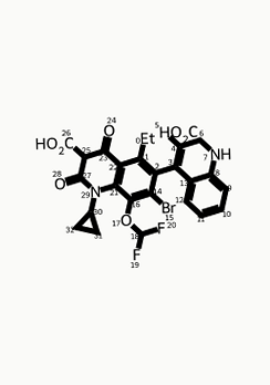 CCc1c(C2=C(C(=O)O)CNc3ccccc32)c(Br)c(OC(F)F)c2c1C(=O)C(C(=O)O)C(=O)N2C1CC1